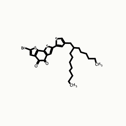 CCCCCCCCC(CCCCCC)Cc1csc(-c2cc3c(s2)-c2sc(Br)cc2C(=O)C3=O)c1